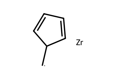 [CH2]C1C=CC=C1.[Zr]